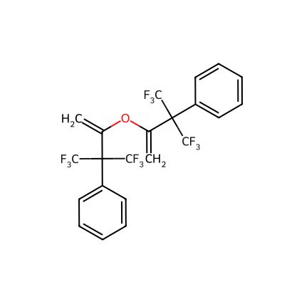 C=C(OC(=C)C(c1ccccc1)(C(F)(F)F)C(F)(F)F)C(c1ccccc1)(C(F)(F)F)C(F)(F)F